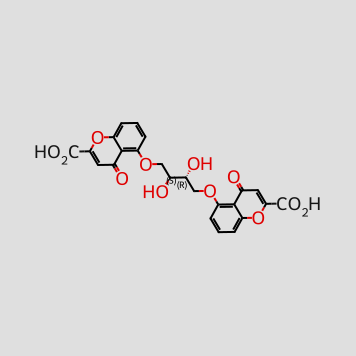 O=C(O)c1cc(=O)c2c(OC[C@@H](O)[C@@H](O)COc3cccc4oc(C(=O)O)cc(=O)c34)cccc2o1